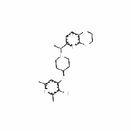 Cc1cc(OC2CCN(C(C)c3ccc4c(n3)OCCO4)CC2)c(Cl)c(C)n1